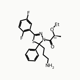 CCO[C@@H](C)C(=O)N1N=C(c2cc(F)ccc2F)SC1(CCCN)c1ccccc1